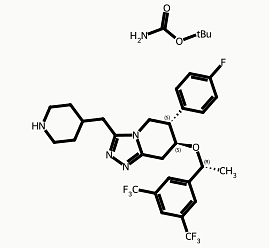 CC(C)(C)OC(N)=O.C[C@@H](O[C@H]1Cc2nnc(CC3CCNCC3)n2C[C@@H]1c1ccc(F)cc1)c1cc(C(F)(F)F)cc(C(F)(F)F)c1